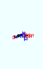 Cn1c(/C=C(\C#N)S(=O)(=O)NCC(O)CO)ccc1-c1ccc2cc(N3CCOCC3)ccc2c1